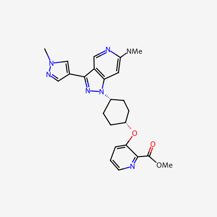 CNc1cc2c(cn1)c(-c1cnn(C)c1)nn2[C@H]1CC[C@@H](Oc2cccnc2C(=O)OC)CC1